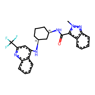 Cn1nc2ccccc2c1C(=O)N[C@@H]1CCC[C@H](Nc2cc(C(F)(F)F)nc3ccccc23)C1